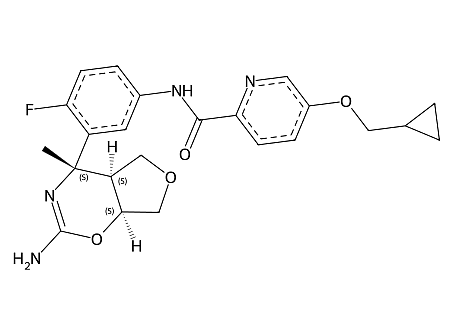 C[C@]1(c2cc(NC(=O)c3ccc(OCC4CC4)cn3)ccc2F)N=C(N)O[C@@H]2COC[C@@H]21